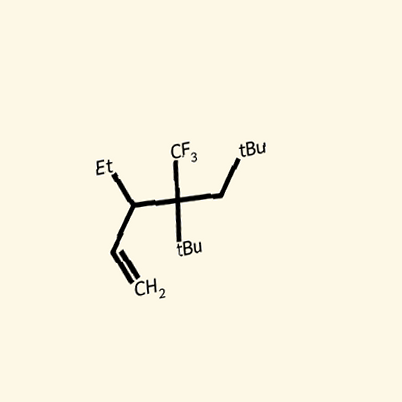 C=CC(CC)C(CC(C)(C)C)(C(C)(C)C)C(F)(F)F